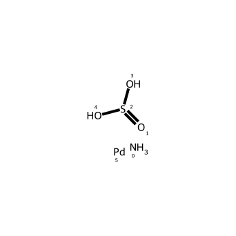 N.O=S(O)O.[Pd]